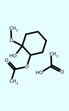 CC(=O)O.COC1(O)CCCCC1OC(C)=O